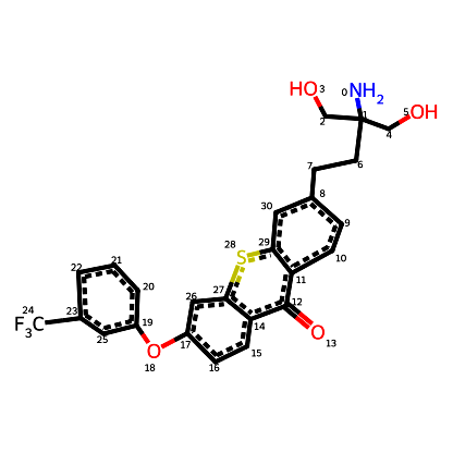 NC(CO)(CO)CCc1ccc2c(=O)c3ccc(Oc4cccc(C(F)(F)F)c4)cc3sc2c1